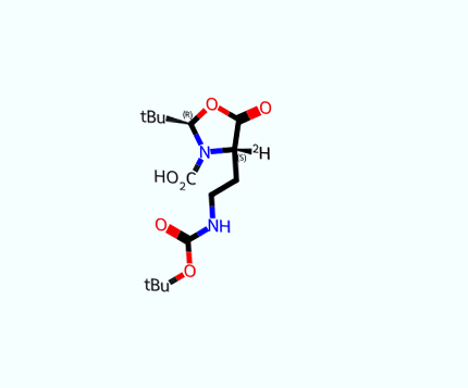 [2H][C@]1(CCNC(=O)OC(C)(C)C)C(=O)O[C@H](C(C)(C)C)N1C(=O)O